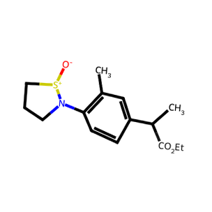 CCOC(=O)C(C)c1ccc(N2CCC[S+]2[O-])c(C)c1